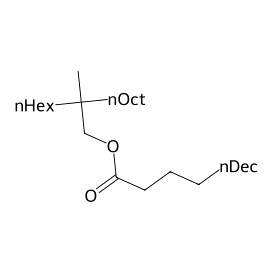 CCCCCCCCCCCCCC(=O)OCC(C)(CCCCCC)CCCCCCCC